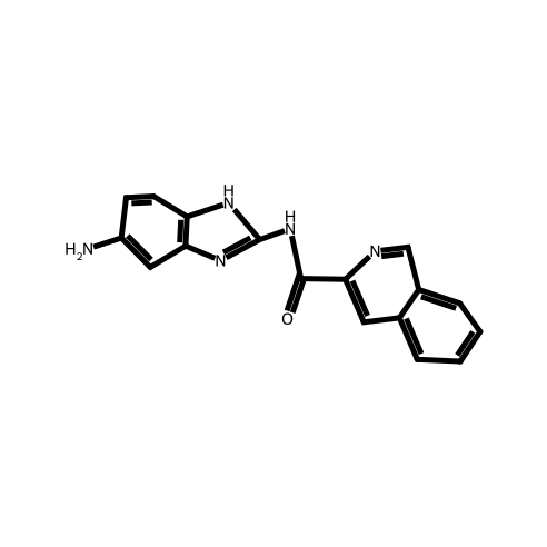 Nc1ccc2[nH]c(NC(=O)c3cc4ccccc4cn3)nc2c1